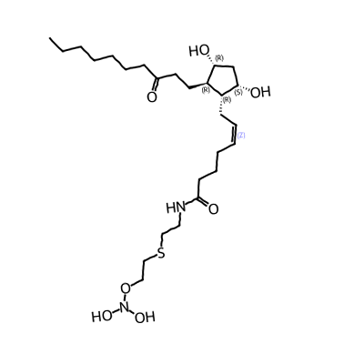 CCCCCCCC(=O)CC[C@@H]1[C@@H](C/C=C\CCCC(=O)NCCSCCON(O)O)[C@@H](O)C[C@H]1O